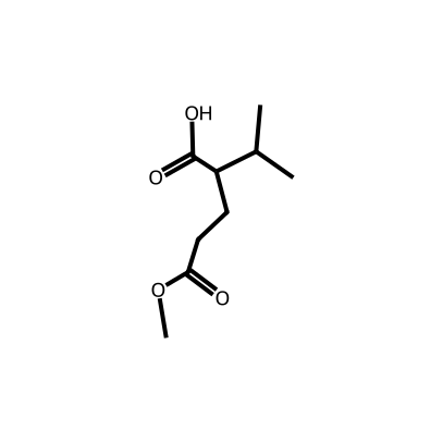 COC(=O)CCC(C(=O)O)C(C)C